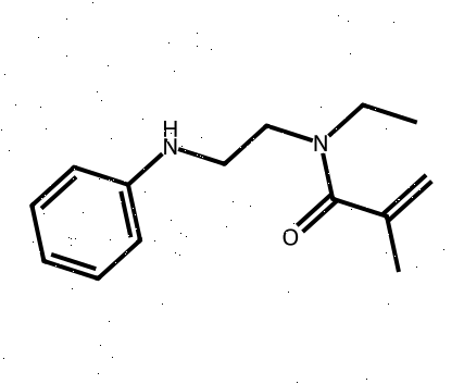 C=C(C)C(=O)N(CC)CCNc1ccccc1